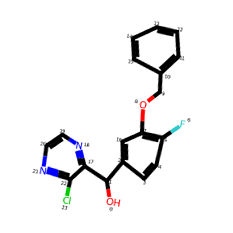 OC(c1ccc(F)c(OCc2ccccc2)c1)c1nccnc1Cl